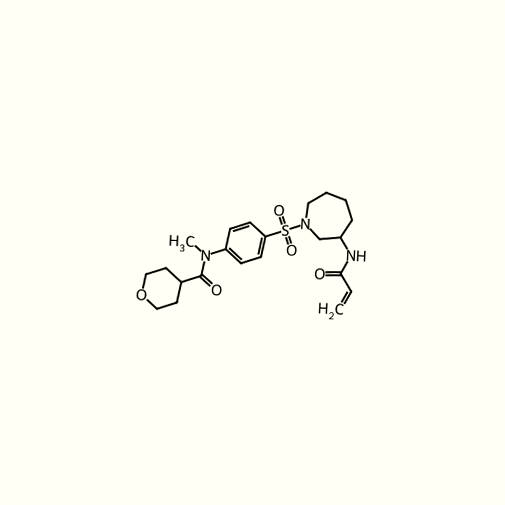 C=CC(=O)NC1CCCCN(S(=O)(=O)c2ccc(N(C)C(=O)C3CCOCC3)cc2)C1